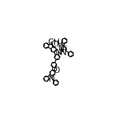 CC1(C)c2ccccc2-c2cc3c4cc(-c5ccc6c(c5)oc5cc7c(cc56)c5ccccc5n7-c5ccccc5)ccc4n(-c4nc(-c5ccccc5)cc(-c5ccccc5)n4)c3cc21